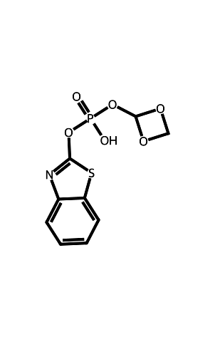 O=P(O)(Oc1nc2ccccc2s1)OC1OCO1